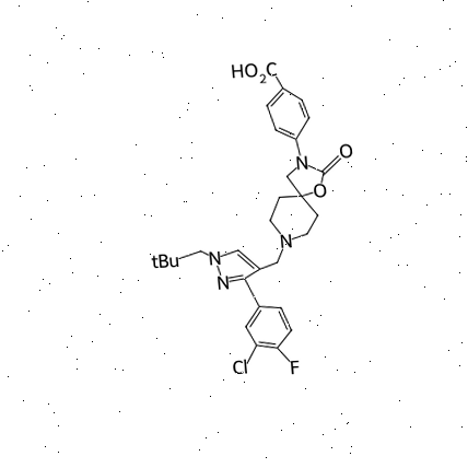 CC(C)(C)Cn1cc(CN2CCC3(CC2)CN(c2ccc(C(=O)O)cc2)C(=O)O3)c(-c2ccc(F)c(Cl)c2)n1